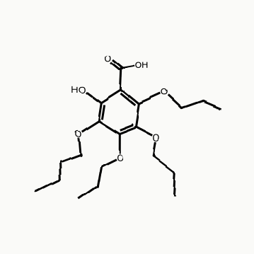 CCCCOc1c(O)c(C(=O)O)c(OCCC)c(OCCC)c1OCCC